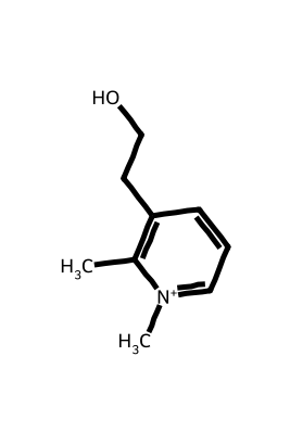 Cc1c(CCO)ccc[n+]1C